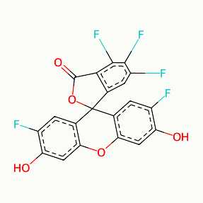 O=C1OC2(c3cc(F)c(O)cc3Oc3cc(O)c(F)cc32)c2cc(F)c(F)c(F)c21